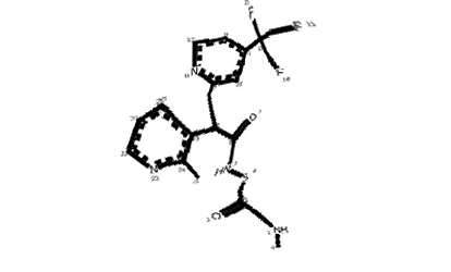 CNC(=O)SNC(=O)C(c1cc(C(F)(F)F)ccn1)c1cccnc1C